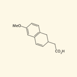 COc1ccc2c(c1)C=CC(CC(=O)O)C2